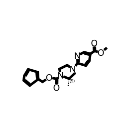 COC(=O)c1ccc(N2CCN(C(=O)OCc3ccccc3)[C@@H](C)C2)nc1